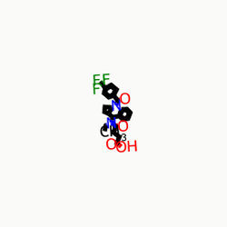 CCN(C(=O)CCC(=O)O)C1c2ccccc2N(C(=O)c2ccc(C(F)(F)F)cc2)C2CCC12